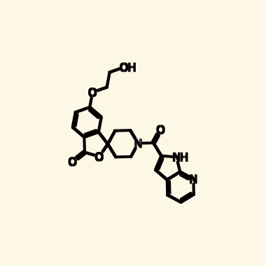 O=C1OC2(CCN(C(=O)c3cc4cccnc4[nH]3)CC2)c2cc(OCCO)ccc21